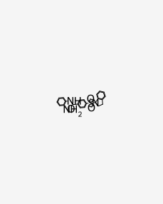 Nc1ccccc1NC(=O)c1ccc(S(=O)(=O)N2CCc3ccccc32)cc1